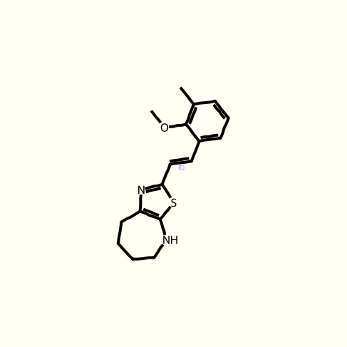 COc1c(C)cccc1/C=C/c1nc2c(s1)NCCCC2